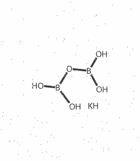 OB(O)OB(O)O.[KH]